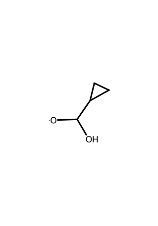 [O]C(O)C1CC1